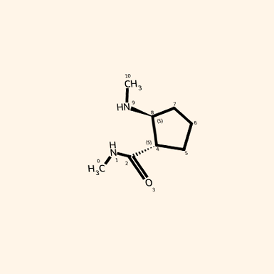 CNC(=O)[C@H]1CCC[C@@H]1NC